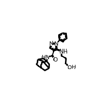 O=C(NC12CC3CC(CC(C3)C1)C2)c1cnn(-c2ccccc2)c1NCCCO